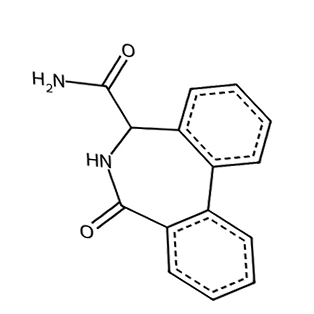 NC(=O)C1NC(=O)c2ccccc2-c2ccccc21